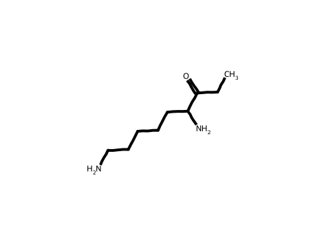 CCC(=O)C(N)CCCCCN